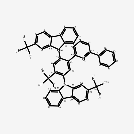 FC(F)(F)c1ccc2c3ccccc3n(-c3cc(C(F)(F)F)c(-n4c5ccccc5c5ccc(C(F)(F)F)cc54)cc3-c3cccc(-c4ccccc4)n3)c2c1